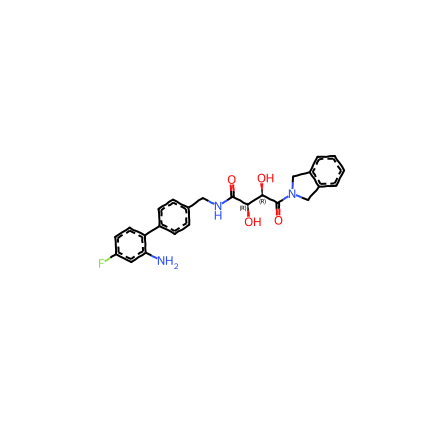 Nc1cc(F)ccc1-c1ccc(CNC(=O)[C@H](O)[C@@H](O)C(=O)N2Cc3ccccc3C2)cc1